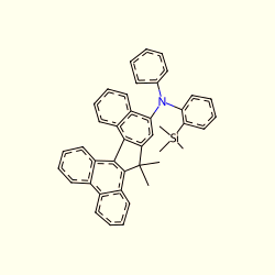 CC1(C)c2cc(N(c3ccccc3)c3ccccc3[Si](C)(C)C)c3ccccc3c2-c2c1c1ccccc1c1ccccc21